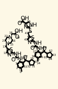 Cc1ccc(NC(=O)Nc2ncc(CN3CCN(CC(=O)O)CC3)s2)c(C(=O)C2CCCC2)c1.Cc1ccc(NC(=O)Nc2ncc(CSc3nc(C(=O)O)c[nH]3)s2)c(C(=O)C2CCCC2)c1